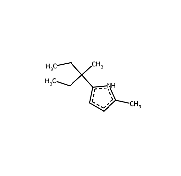 CCC(C)(CC)c1ccc(C)[nH]1